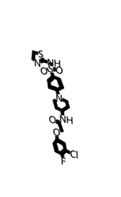 O=C(COc1ccc(F)c(Cl)c1)NC1CCN(c2ccc(S(=O)(=O)NC3=NCCS3)cc2)CC1